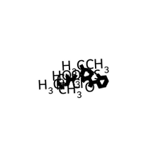 Cc1c(OCC(O)C[N+](C)(C)C)c(Cl)c2c(=O)c3ccccc3sc2c1C